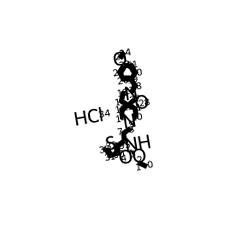 CCOC(=O)NC(CCN1CCC2(CC1)CCN(Cc1ccc(OC)cc1)C2=O)c1cccs1.Cl